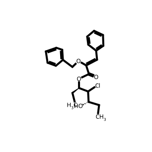 CC[C@H](O)C(Cl)[C@@H](CC)OC(=O)C(=Cc1ccccc1)OCc1ccccc1